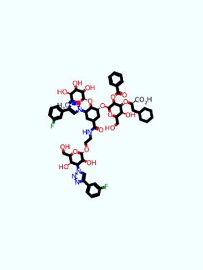 CC1O[C@@H](OC2C(n3cc(-c4cccc(F)c4)nn3)CC(C(=O)NCCO[C@H]3OC(CO)[C@@H](O)C(n4cc(-c5cccc(F)c5)nn4)C3O)C[C@H]2O[C@@H]2OC(CO)[C@H](O)C(O[C@@H](CC3CCCCC3)C(=O)O)C2OC(=O)c2ccccc2)C(O)C(O)[C@@H]1O